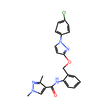 Cc1nn(C)cc1C(=O)Nc1ccccc1COc1ccn(-c2ccc(Cl)cc2)n1